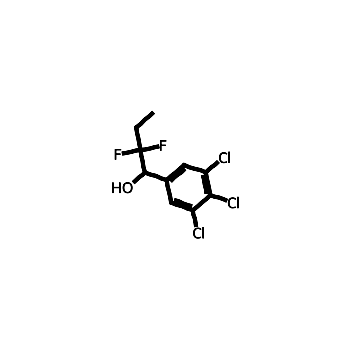 CCC(F)(F)C(O)c1cc(Cl)c(Cl)c(Cl)c1